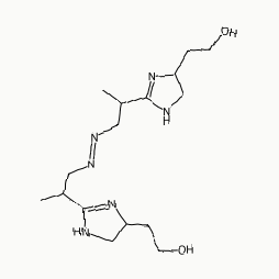 CC(CN=NCC(C)C1=NC(CCO)CN1)C1=NC(CCO)CN1